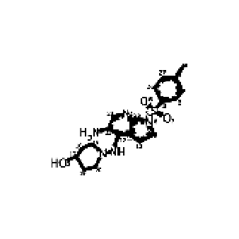 Cc1ccc(S(=O)(=O)n2ccc3c(NN4CCC(O)CC4)c(N)cnc32)cc1